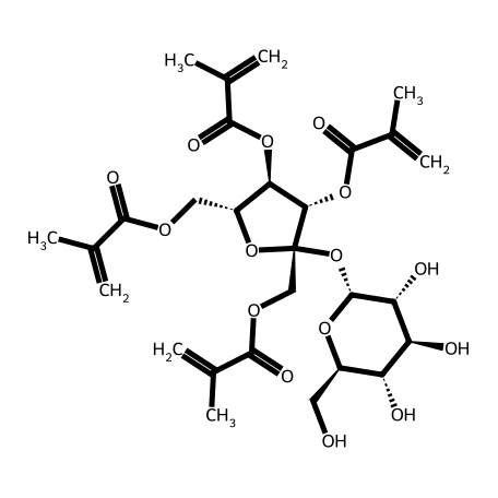 C=C(C)C(=O)OC[C@H]1O[C@@](COC(=O)C(=C)C)(O[C@H]2O[C@H](CO)[C@@H](O)[C@H](O)[C@H]2O)[C@@H](OC(=O)C(=C)C)[C@@H]1OC(=O)C(=C)C